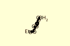 BC(=O)OCc1ccc(OC(=O)CCC(=O)C(C)(C)OCC)cc1